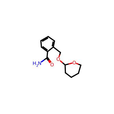 NC(=O)c1ccccc1COC1CCCCO1